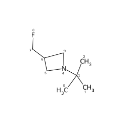 CC(C)(C)N1CC(CF)C1